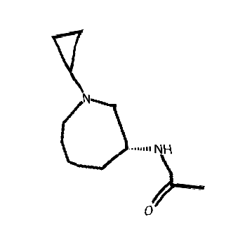 CC(=O)N[C@@H]1CCCN(C2CC2)C1